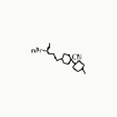 CCCC(I)CCCC1CCC(C#N)(C2CCC(C)CC2)CC1